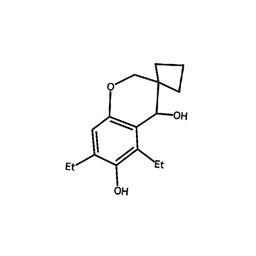 CCc1cc2c(c(CC)c1O)C(O)C1(CCC1)CO2